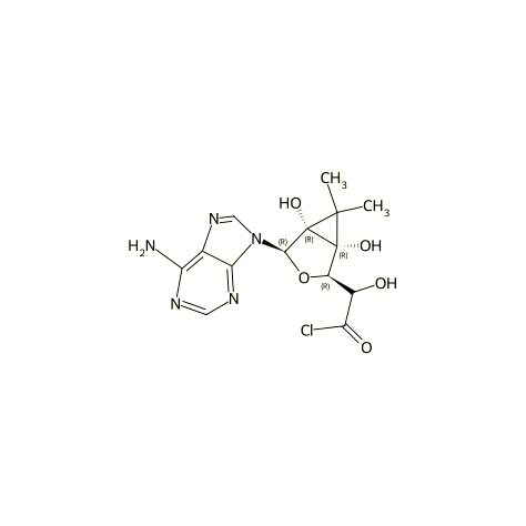 CC1(C)[C@]2(O)[C@H](n3cnc4c(N)ncnc43)O[C@H](C(O)C(=O)Cl)[C@]12O